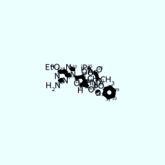 CCOc1nc(N)nc2c1ncn2[C@@H]1O[C@@H]2C(O[P@@](=O)(N[C@@H](C)C(=O)OC(C)C)Oc3ccccc3)[C@]2(C)[C@H]1OC(C)=O